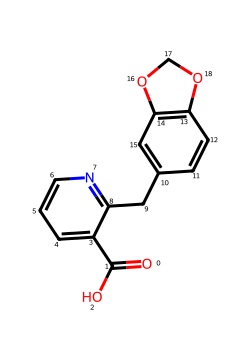 O=C(O)c1cccnc1Cc1ccc2c(c1)OCO2